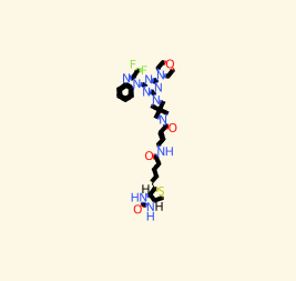 O=C(CCCC[C@@H]1SC[C@@H]2NC(=O)N[C@@H]21)NC/C=C/C(=O)N1CC2(C1)CN(c1nc(N3CCOCC3)nc(-n3c(C(F)F)nc4ccccc43)n1)C2